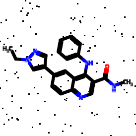 CCn1cc(-c2ccc3ncc(C(=O)NC)c(Nc4ccccc4)c3c2)cn1